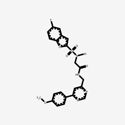 CC(C)N(CC(=O)NCc1cc(-c2ccc(OC(F)(F)F)cc2)ncn1)S(=O)(=O)c1cc2cc(F)ccc2o1